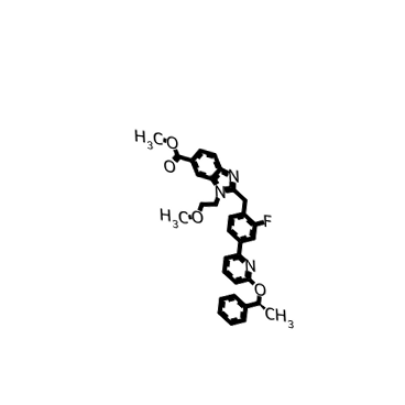 COCCn1c(Cc2ccc(-c3cccc(O[C@@H](C)c4ccccc4)n3)cc2F)nc2ccc(C(=O)OC)cc21